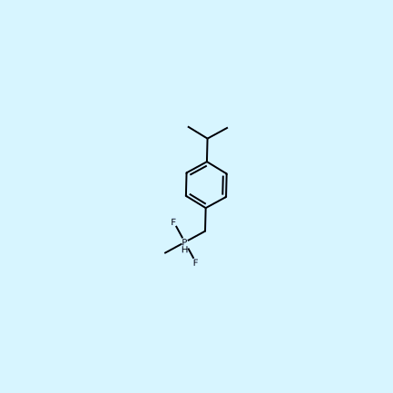 CC(C)c1ccc(C[PH](C)(F)F)cc1